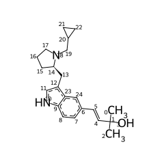 CC(C)(O)/C=C/c1ccc2[nH]cc(C[C@H]3CCCN3CC3CC3)c2c1